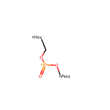 CCCCCCCO[PH](=O)OCCCCC